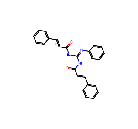 O=C(/C=C/c1ccccc1)NC(=Nc1ccccc1)NC(=O)/C=C/c1ccccc1